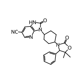 CC1(C)OC(=O)N(C2CCC(n3c(=O)[nH]c4cc(C#N)cnc43)CC2)C1c1ccccc1